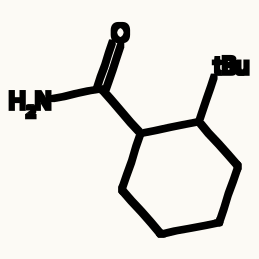 CC(C)(C)C1CCCCC1C(N)=O